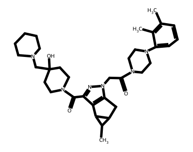 Cc1cccc(N2CCN(C(=O)Cn3nc(C(=O)N4CCC(O)(CN5CCCCC5)CC4)c4c3CC3C(C)C43)CC2)c1C